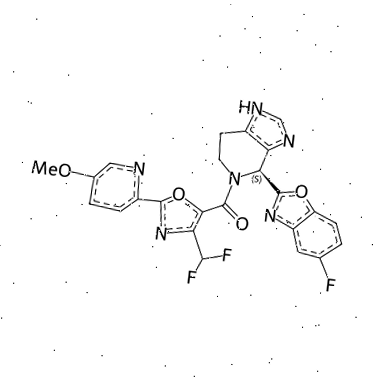 COc1ccc(-c2nc(C(F)F)c(C(=O)N3CCc4[nH]cnc4[C@H]3c3nc4cc(F)ccc4o3)o2)nc1